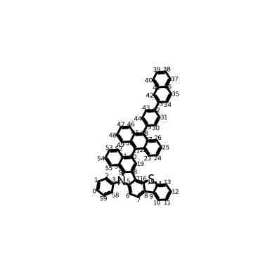 c1ccc(-n2c3ccc4c5ccccc5sc4c3c3cc(-c4c5ccccc5c(-c5ccc(-c6ccc7ccccc7c6)cc5)c5ccccc45)c4ccccc4c32)cc1